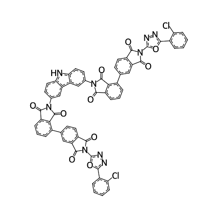 O=C1c2cccc(-c3ccc4c(c3)C(=O)N(c3nnc(-c5ccccc5Cl)o3)C4=O)c2C(=O)N1c1ccc2[nH]c3ccc(N4C(=O)c5cccc(-c6ccc7c(c6)C(=O)N(c6nnc(-c8ccccc8Cl)o6)C7=O)c5C4=O)cc3c2c1